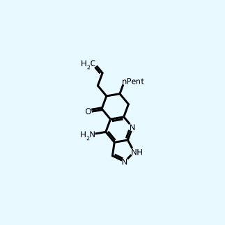 C=CCC1C(=O)c2c(nc3[nH]ncc3c2N)CC1CCCCC